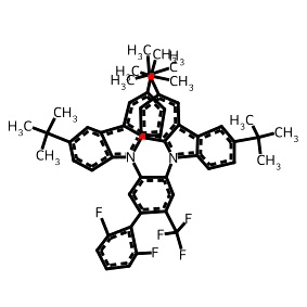 CC(C)(C)c1ccc2c(c1)c1cc(C(C)(C)C)ccc1n2-c1cc(-c2c(F)cccc2F)c(C(F)(F)F)cc1-n1c2ccc(C(C)(C)C)cc2c2cc(C(C)(C)C)ccc21